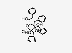 OC(Cc1ccccc1)[C@H]1O[C@@H](Cl)[C@@](O)(Cc2ccccc2)[C@](O)(Cc2ccccc2)[C@@]1(O)Cc1ccccc1